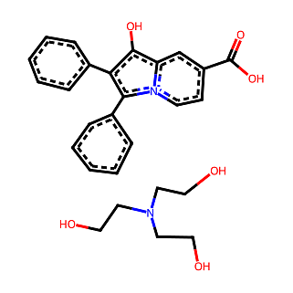 O=C(O)c1ccn2c(-c3ccccc3)c(-c3ccccc3)c(O)c2c1.OCCN(CCO)CCO